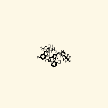 Cc1cc(F)cc(C(=O)NC(C)(C)C)c1NC(=O)c1cc(Cn2nnc(C(F)(F)C(F)(F)F)n2)nn1-c1ncccc1Cl